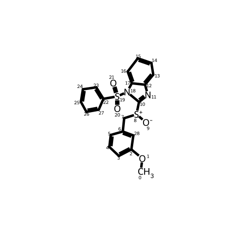 COc1cccc(C[S+]([O-])c2nc3ccccc3n2S(=O)(=O)c2ccccc2)c1